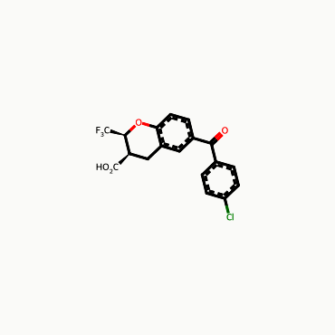 O=C(c1ccc(Cl)cc1)c1ccc2c(c1)C[C@@H](C(=O)O)[C@@H](C(F)(F)F)O2